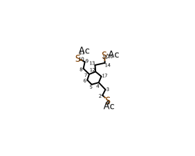 CC(=O)SCCC1CCC(CCSC(C)=O)C(CCSC(C)=O)C1